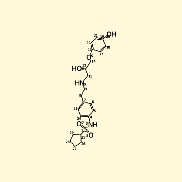 O=S(=O)(Nc1ccc(CCNCC(O)COc2ccc(O)cc2)cc1)C1CCCC1